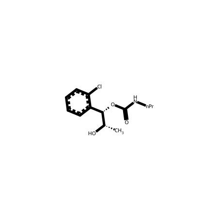 CCCNC(=O)O[C@@H](c1ccccc1Cl)[C@H](C)O